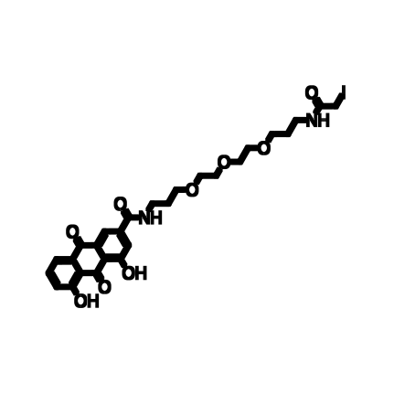 O=C(CI)NCCCOCCOCCOCCCNC(=O)c1cc(O)c2c(c1)C(=O)c1cccc(O)c1C2=O